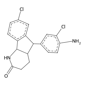 Nc1ccc(C2c3cc(Cl)ccc3C3NC(=O)CCC32)cc1Cl